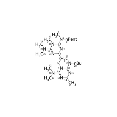 CCCCCN(C)C1=NC(CCN2C(N(C)C)=NC(C)N=C2N(C)CCCC)N=C(N(C)C)N1C